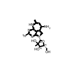 [3H]c1nc2[nH]c(=C)cc(N)c3cn([C@@H]4O[C@H](CO)[C@@H](O)C4(C)O)c(n1)c23